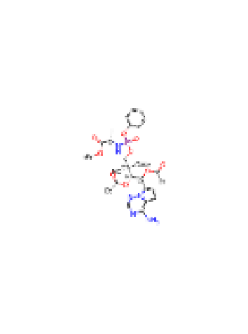 CCCOC(=O)[C@H](C)NP(=O)(OC[C@@](C#N)(OC)[C@@H](OC(=O)CC)[C@@H](OC(=O)CC)c1ccc2c(N)ncnn12)Oc1ccccc1